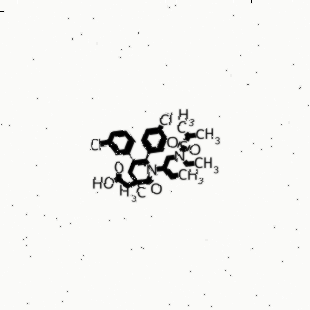 CCC(CN(CC)S(=O)(=O)C(C)C)N1C(=O)[C@@](C)(CC(=O)O)C[C@H](c2cccc(Cl)c2)[C@H]1c1ccc(Cl)cc1